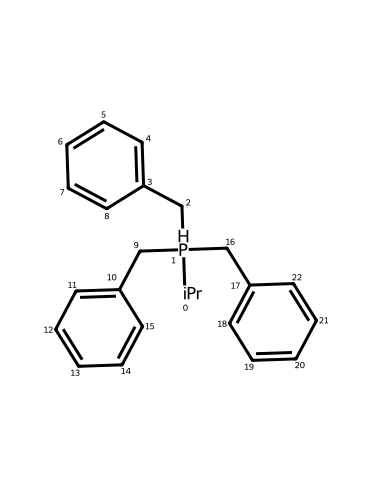 CC(C)[PH](Cc1ccccc1)(Cc1ccccc1)Cc1ccccc1